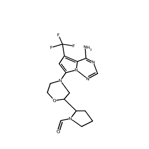 Nc1ncnn2c(N3CCOC(C4CCCN4C=O)C3)cc(C(F)(F)F)c12